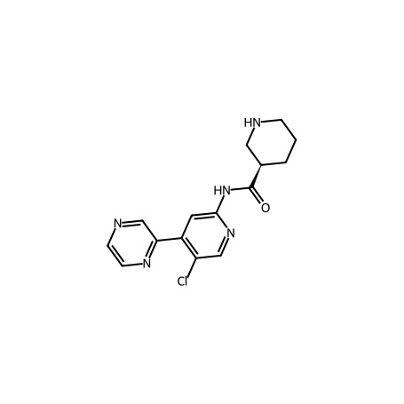 O=C(Nc1cc(-c2cnccn2)c(Cl)cn1)[C@@H]1CCCNC1